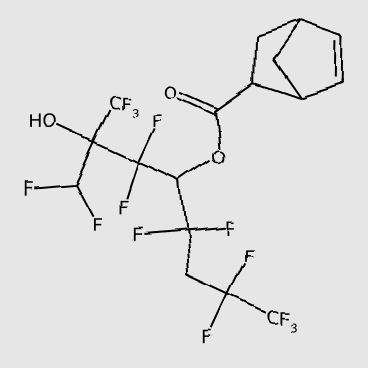 O=C(OC(C(F)(F)CC(F)(F)C(F)(F)F)C(F)(F)C(O)(C(F)F)C(F)(F)F)C1CC2C=CC1C2